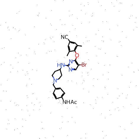 CC(=O)Nc1ccc(CN2CCC(Nc3ncc(Br)c(Oc4c(C)cc(C#N)cc4C)n3)CC2)cc1